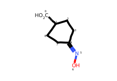 O=C(O)C1CCC(=NO)CC1